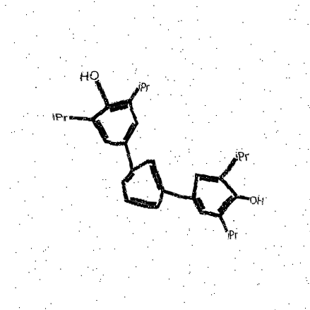 CC(C)c1cc(-c2cccc(-c3cc(C(C)C)c(O)c(C(C)C)c3)c2)cc(C(C)C)c1O